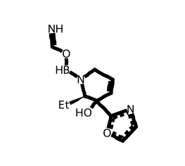 CC[C@H]1N(BOC=N)CC=CC1(O)c1ncco1